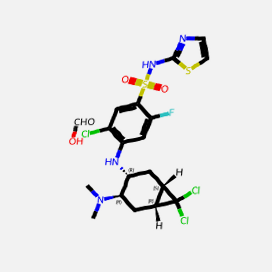 CN(C)[C@@H]1C[C@@H]2[C@H](C[C@H]1Nc1cc(F)c(S(=O)(=O)Nc3nccs3)cc1Cl)C2(Cl)Cl.O=CO